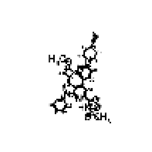 CO[C@H]1C[C@@H](c2nn(-c3ccccc3)c3nc(C(=O)NS(C)(=O)=O)cc(-c4ccc(N5CCC(C#N)CC5)nc4)c32)C1